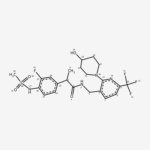 CC(C(=O)NCc1ccc(C(F)(F)F)nc1N1CCC(O)CC1)c1ccc(NS(C)(=O)=O)c(F)c1